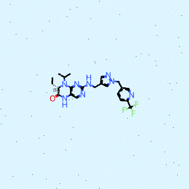 CC[C@H]1C(=O)Nc2cnc(NCc3cnn(Cc4ccc(C(F)(F)F)nc4)c3)nc2N1C(C)C